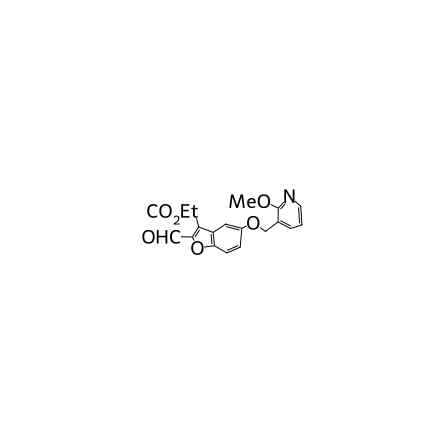 CCOC(=O)c1c(C=O)oc2ccc(OCc3cccnc3OC)cc12